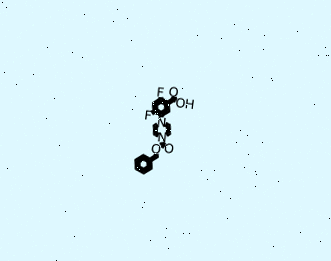 O=C(O)c1cc(N2CCN(C(=O)OCc3ccccc3)CC2)c(F)cc1F